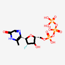 Cc1[nH]c(=O)cnc1[C@@H]1O[C@H](COP(=O)(O)OP(=O)(O)OP(=O)(O)O)C(O)[C@@H]1F